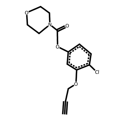 C#CCOc1cc(OC(=O)N2CCOCC2)ccc1Cl